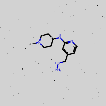 CC(=O)N1CCC(Nc2cc(CNN)ccn2)CC1